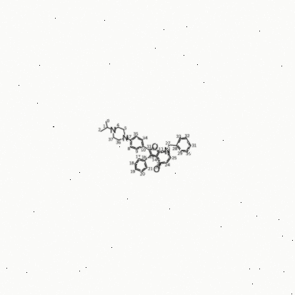 CC(C)N1CCN(c2ccc(-c3oc4c(c3-c3ccccc3)c(=O)ccn4Cc3ccccc3)cc2)CC1